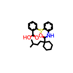 CC(C)CCC1(C(=O)Nc2ccccc2Sc2ccccc2C(=O)O)CCCCC1